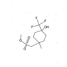 COS(=O)(=O)CC1(C)CCC(O)(C(F)(F)F)CC1